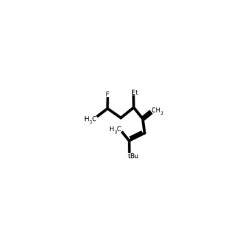 C=C(/C=C(\C)C(C)(C)C)C(CC)CC(C)F